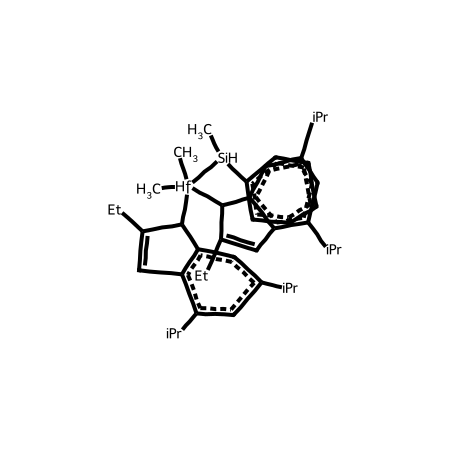 CCC1=Cc2c(C(C)C)cc(C(C)C)cc2[CH]1[Hf]([CH3])([CH3])([CH]1C(CC)=Cc2c(C(C)C)cc(C(C)C)cc21)[SiH](C)c1ccccc1